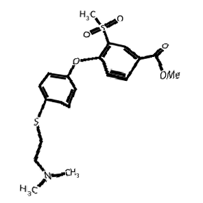 COC(=O)c1ccc(Oc2ccc(SCCN(C)C)cc2)c(S(C)(=O)=O)c1